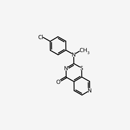 CN(c1ccc(Cl)cc1)c1nc(=O)c2ccncc2s1